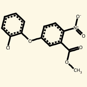 COC(=O)c1cc(Oc2ccccc2Cl)ccc1[N+](=O)[O-]